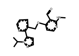 CNc1nccc(OCc2cccnc2-c2ccnn2C(C)C)c1C=O